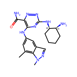 Cc1cc(Nc2nc(N[C@@H]3CCCC[C@@H]3N)nnc2C(N)=O)cc2cnn(C)c12